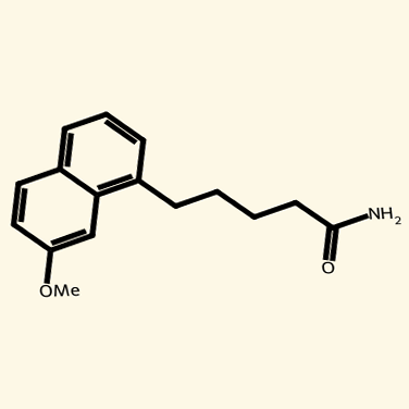 COc1ccc2cccc(CCCCC(N)=O)c2c1